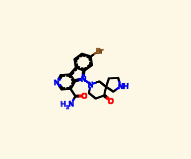 NC(=O)c1cncc2c3ccc(Br)cc3n(N3CCC(=O)C4(CCNC4)C3)c12